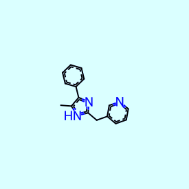 Cc1[nH]c(Cc2cccnc2)nc1-c1ccccc1